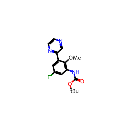 COc1c(NC(=O)OC(C)(C)C)cc(F)cc1-c1cnccn1